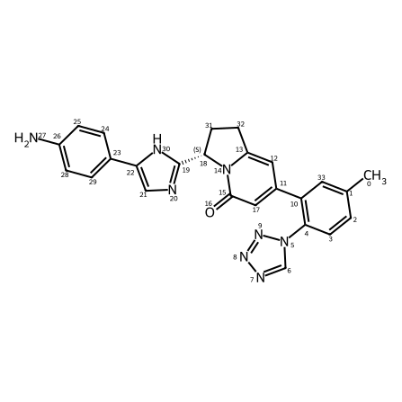 Cc1ccc(-n2cnnn2)c(-c2cc3n(c(=O)c2)[C@H](c2ncc(-c4ccc(N)cc4)[nH]2)CC3)c1